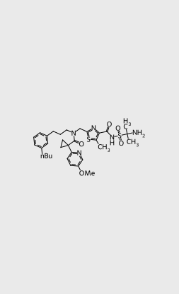 CCCCc1cccc(CCCN(Cc2nc(C(=O)NS(=O)(=O)C(C)(C)N)c(C)s2)C(=O)C2(c3ccc(OC)cn3)CC2)c1